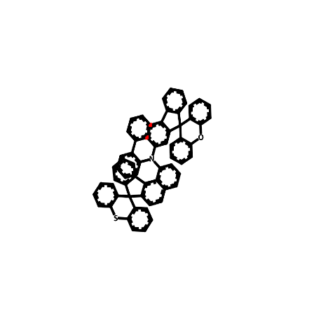 c1ccc(-c2ccccc2N(c2ccc3c(c2)C2(c4ccccc4Oc4ccccc42)c2ccccc2-3)c2cccc3ccc4c(c23)-c2ccccc2C42c3ccccc3Sc3ccccc32)cc1